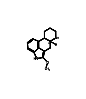 COc1[nH]c2cccc3c2c1C[C@H]1NCCCC31